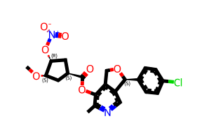 CO[C@H]1C[C@H](C(=O)Oc2c(C)ncc3c2CO[C@H]3c2ccc(Cl)cc2)C[C@H]1O[N+](=O)[O-]